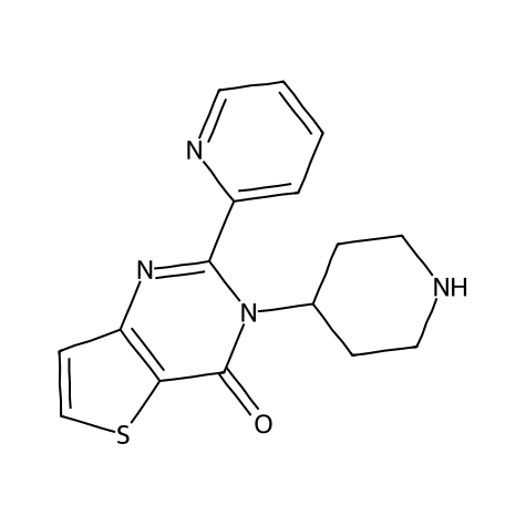 O=c1c2sccc2nc(-c2ccccn2)n1C1CCNCC1